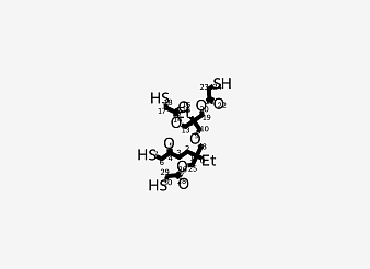 CCC(CCC(=O)CS)(COCC(CC)(COC(=O)CS)COC(=O)CS)COC(=O)CS